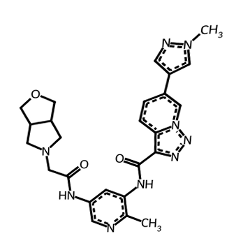 Cc1ncc(NC(=O)CN2CC3COCC3C2)cc1NC(=O)c1nnn2cc(-c3cnn(C)c3)ccc12